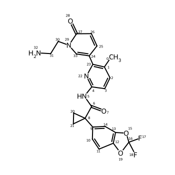 Cc1ccc(NC(=O)C2(c3ccc4c(c3)OC(F)(F)O4)CC2)nc1-c1ccc(=O)n(CCN)c1